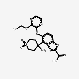 CC1(c2c(Oc3nccnc3OCC(F)(F)F)ccc3nc(C(N)=O)nn23)CCS(=O)(=O)CC1